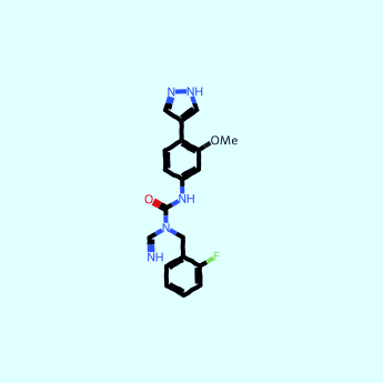 COc1cc(NC(=O)N(C=N)Cc2ccccc2F)ccc1-c1cn[nH]c1